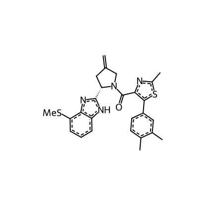 C=C1C[C@@H](c2nc3c(SC)cccc3[nH]2)N(C(=O)c2nc(C)sc2-c2ccc(C)c(C)c2)C1